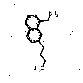 CCCCc1ccc2cccc(CN)c2c1